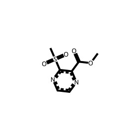 COC(=O)c1nccnc1S(C)(=O)=O